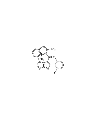 Cc1cccc(C)c1Nc1c(-c2c(F)cccc2Cl)nc2scc(-c3ccccc3)n12